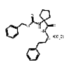 CCOC(=O)[C@H](CCc1ccccc1)NC(=O)C1(NC(=O)OCc2ccccc2)CCCC1